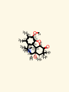 [2H]O[C@@]12CC([2H])([2H])C(=O)C3Oc4c(OC)c([2H])c([2H])c5c4[C@@]31CCN(C)[C@@H]2C5([2H])[2H]